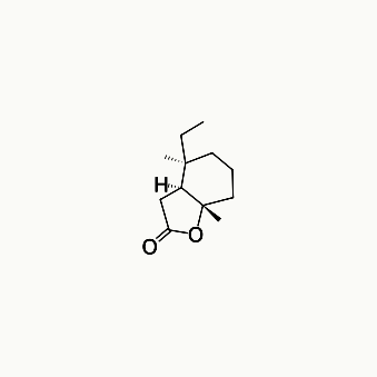 CC[C@@]1(C)CCC[C@]2(C)OC(=O)C[C@@H]12